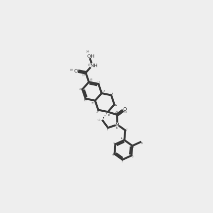 Cc1ccccc1CN1CC[C@]2(CCC3C=C(C(=O)NO)C=CC3C2)C1=O